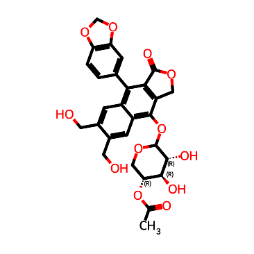 CC(=O)O[C@@H]1COC(Oc2c3c(c(-c4ccc5c(c4)OCO5)c4cc(CO)c(CO)cc24)C(=O)OC3)[C@H](O)[C@H]1O